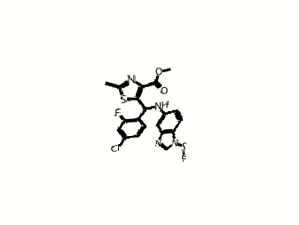 COC(=O)c1nc(C)sc1C(Nc1ccc2c(c1)ncn2SF)c1ccc(Cl)cc1F